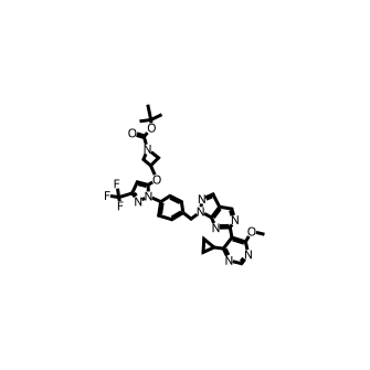 COc1ncnc(C2CC2)c1-c1ncc2cnn(Cc3ccc(-n4nc(C(F)(F)F)cc4OC4CN(C(=O)OC(C)(C)C)C4)cc3)c2n1